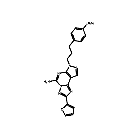 COc1ccc(CCCn2ncc3c2nc(N)n2nc(-c4ccco4)nc32)cc1